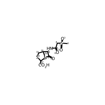 CS(=O)(=O)CC(=O)N[C@@H]1C(=O)N2C(C(=O)O)SCC12